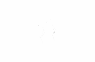 CC=CC=O.CC=CC=O